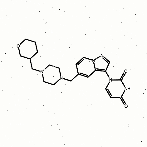 O=c1ccn(-c2cnn3ccc(CN4CCN(CC5CCCOC5)CC4)cc23)c(=O)[nH]1